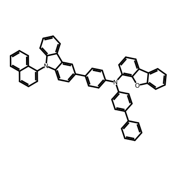 c1ccc(-c2ccc(N(c3ccc(-c4ccc5c(c4)c4ccccc4n5-c4cccc5ccccc45)cc3)c3cccc4c3oc3ccccc34)cc2)cc1